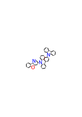 c1ccc(N(c2cnc3c(c2)oc2ccccc23)c2ccccc2-c2ccc(-n3c4ccccc4c4ccccc43)cc2)cc1